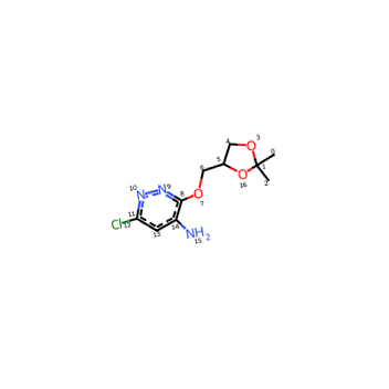 CC1(C)OCC(COc2nnc(Cl)cc2N)O1